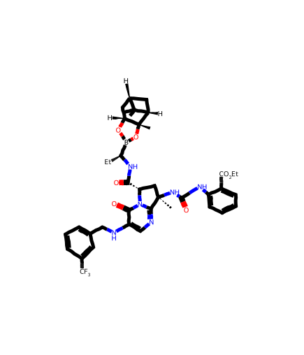 CCOC(=O)c1ccccc1NC(=O)N[C@]1(C)C[C@@H](C(=O)N[C@@H](CC)B2O[C@@H]3C[C@@H]4C[C@@H](C4(C)C)[C@]3(C)O2)n2c1ncc(NCc1cccc(C(F)(F)F)c1)c2=O